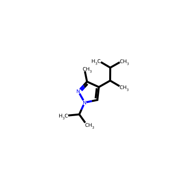 Cc1nn(C(C)C)cc1C(C)C(C)C